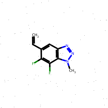 C=Cc1cc2nnn(C)c2c(F)c1F